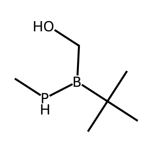 CPB(CO)C(C)(C)C